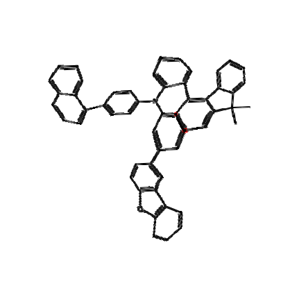 CC1(C)c2ccccc2-c2c(-c3ccccc3N(c3ccc(-c4cccc5ccccc45)cc3)c3cccc(-c4ccc5oc6c(c5c4)C=CCC6)c3)cccc21